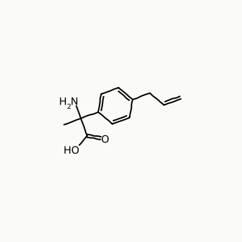 C=CCc1ccc(C(C)(N)C(=O)O)cc1